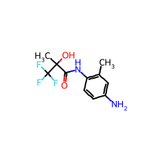 Cc1cc(N)ccc1NC(=O)C(C)(O)C(F)(F)F